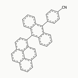 N#Cc1ccc(-c2c3ccccc3c(-c3ccc4ccc5cccc6ccc3c4c56)c3ccccc23)cc1